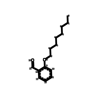 CCCCCCCCOc1ccccc1[C]=O